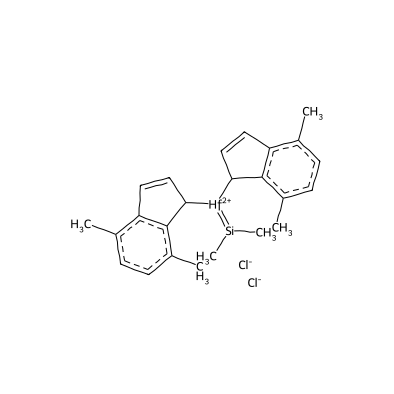 Cc1ccc(C)c2c1C=C[CH]2[Hf+2]([CH]1C=Cc2c(C)ccc(C)c21)=[Si](C)C.[Cl-].[Cl-]